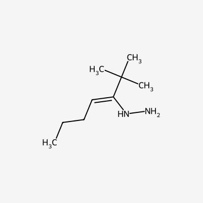 CCC/C=C(\NN)C(C)(C)C